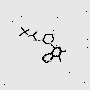 Cc1c(F)cc(N2C[C@@H](C)C[C@@H](NC(=O)OC(C)(C)C)C2)c2cccnc12